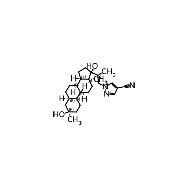 C[C@@H](Cn1cc(C#N)cn1)[C@@]1(O)CC[C@H]2[C@@H]3CC[C@@H]4C[C@](C)(O)CC[C@@H]4[C@H]3CC[C@@]21C